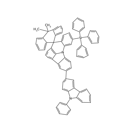 CC1(C)c2ccccc2C2(c3ccc([Si](c4ccccc4)(c4ccccc4)c4ccccc4)cc3-n3c4ccc(-c5ccc6c(c5)c5ccccc5n6-c5ccccc5)cc4c4cccc2c43)c2ccccc21